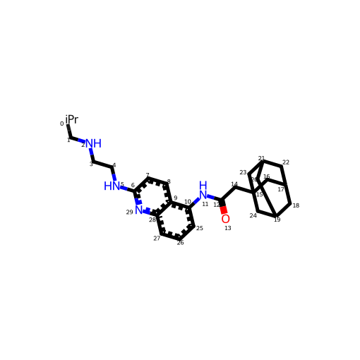 CC(C)CNCCNc1ccc2c(NC(=O)CC34CC5CC(CC(C5)C3)C4)cccc2n1